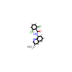 O=C(O)c1cnc2c(NC(=O)c3c(Cl)cccc3Cl)cccc2c1